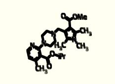 COC(=O)c1c(CN2CCN(c3nccc(C)c3C(=O)OC(C)C)CC2)c(C)n(C)c1C